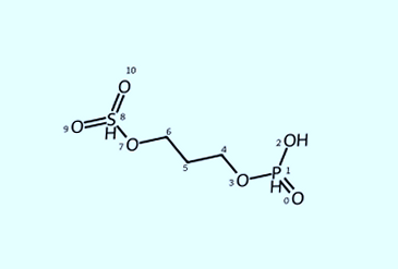 O=[PH](O)OCCCO[SH](=O)=O